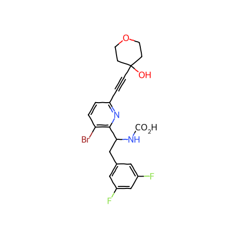 O=C(O)NC(Cc1cc(F)cc(F)c1)c1nc(C#CC2(O)CCOCC2)ccc1Br